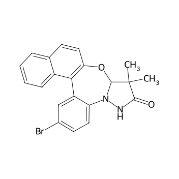 CC1(C)C(=O)NN2c3ccc(Br)cc3-c3c(ccc4ccccc34)OC21